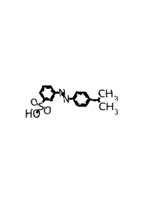 CC(C)c1ccc(/N=N/c2cccc(S(=O)(=O)O)c2)cc1